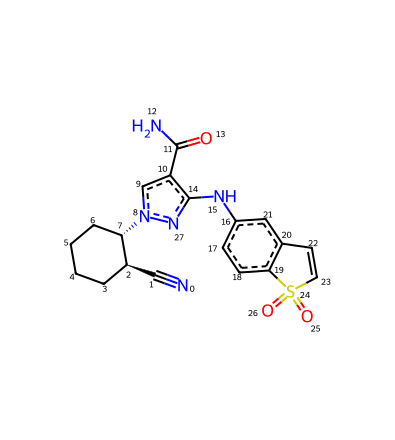 N#C[C@H]1CCCC[C@@H]1n1cc(C(N)=O)c(Nc2ccc3c(c2)C=CS3(=O)=O)n1